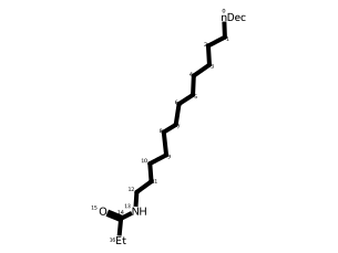 CCCCCCCCCCCCCCCCCCCCCCNC(=O)CC